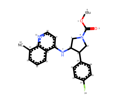 CC(C)(C)OC(=O)N1CC(Nc2ccnc3c(C#N)cccc23)C(c2ccc(F)cc2)C1